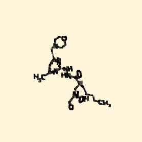 CCCCC[C@@H](CN(O)C=O)C(=O)NNc1nc(C)cc(CN2CCOCC2)n1